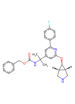 CC(C)(NC(=O)OCc1ccccc1)c1cc(O[C@H]2[C@@H]3CNC[C@@H]32)nc(-c2ccc(F)cc2)c1